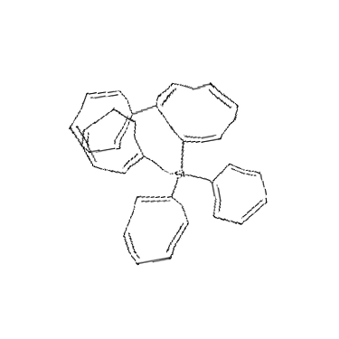 C1=CCCC([Si](c2ccccc2)(c2ccccc2)c2ccccc2-c2ccccc2)=C1